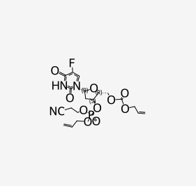 C=CCOC(=O)OC[C@H]1O[C@@H](n2cc(F)c(=O)[nH]c2=O)C[C@@H]1OP(=O)(OCC=C)OCCC#N